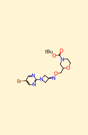 CC(C)(C)OC(=O)N1CCOC(CON=C2CN(c3ncc(Br)cn3)C2)C1